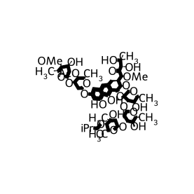 CO[C@@H]1[C@H](O)C[C@@H](O[C@@H]2C[C@H](Oc3cc(O)c4c(O)c5c(cc4c3)C[C@@H]([C@H](OC)C(=O)[C@@H](O)[C@@H](C)O)[C@H](O[C@H]3C[C@@H](O[C@H]4C[C@@H](O[C@H]6C[C@](C)(O)[C@@H](OC(=O)C(C)C)[C@H](C)O6)[C@H](O)[C@@H](C)O4)[C@H](O)[C@@H](C)O3)C5=O)O[C@H](C)[C@@H]2OC(C)=O)O[C@@H]1C